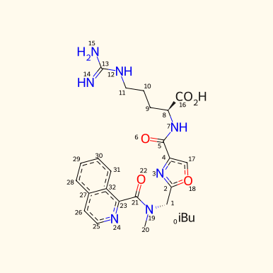 CC[C@H](C)[C@@H](c1nc(C(=O)N[C@@H](CCCNC(=N)N)C(=O)O)co1)N(C)C(=O)c1nccc2ccccc12